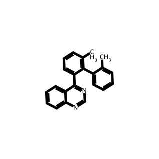 Cc1ccccc1-c1c(C)cccc1-c1ncnc2ccccc12